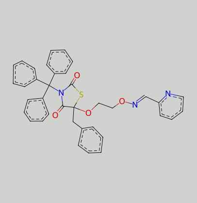 O=C1SC(Cc2ccccc2)(OCCON=Cc2ccccn2)C(=O)N1C(c1ccccc1)(c1ccccc1)c1ccccc1